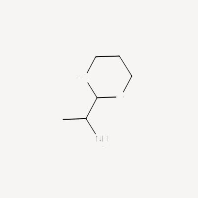 CC(N)C1OCCCO1